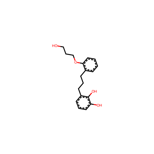 OCCCOc1ccccc1CCCc1cccc(O)c1O